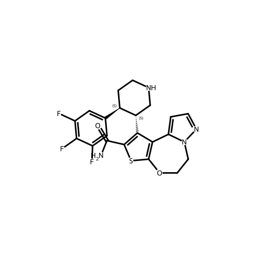 NC(=O)c1sc2c(c1[C@H]1CNCC[C@@H]1c1cc(F)c(F)c(F)c1)-c1ccnn1CCO2